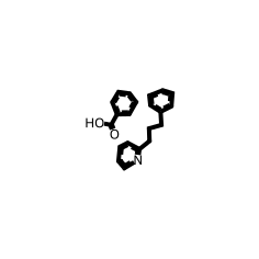 O=C(O)c1ccccc1.c1ccc(CCCc2ccccn2)cc1